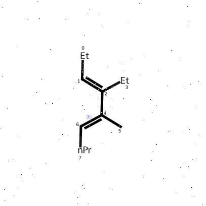 [CH2]CC=C(CC)/C(C)=C/CCC